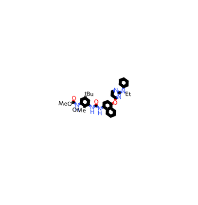 CCN(c1ccccc1)c1nccc(Oc2ccc(NC(=O)Nc3cc(C(C)(C)C)cc(NC(=O)OC)c3OC)c3ccccc23)n1